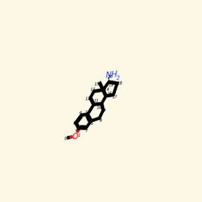 COc1ccc2c(c1)CCC1C2CCC2(C)C1CC[C@H]2N